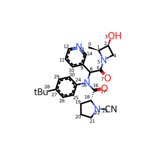 C[C@H]1[C@@H](O)CN1C(=O)C(c1cccnc1)N(C(=O)[C@H]1CCCN1C#N)c1ccc(C(C)(C)C)cc1